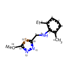 CCc1cccc(C)c1NCc1nnc(OC)s1